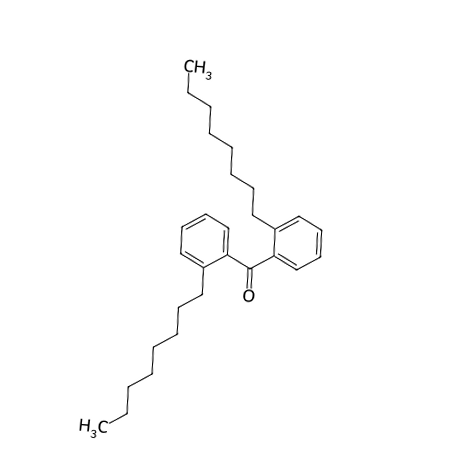 CCCCCCCCc1ccccc1C(=O)c1ccccc1CCCCCCCC